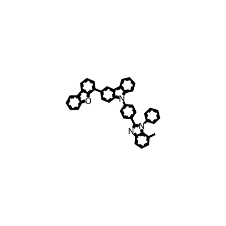 Cc1cccc2nc(-c3ccc(-n4c5ccccc5c5cc(-c6cccc7c6oc6ccccc67)ccc54)cc3)n(-c3ccccc3)c12